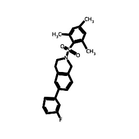 Cc1cc(C)c(S(=O)(=O)N2CCc3cc(-c4cccc(F)c4)ccc3C2)c(C)c1